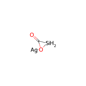 O=C1O[SiH2]1.[Ag]